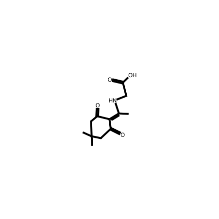 CC(NCC(=O)O)=C1C(=O)CC(C)(C)CC1=O